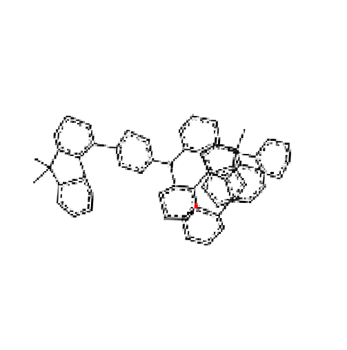 CC1(C)c2ccccc2-c2c(-c3ccc(N(c4ccccc4-c4cccc5cccc(-c6ccccc6)c45)c4cccc5c4-c4ccccc4C5(C)c4ccccc4)cc3)cccc21